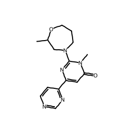 CC1CN(c2nc(-c3ccncn3)cc(=O)n2C)CCCO1